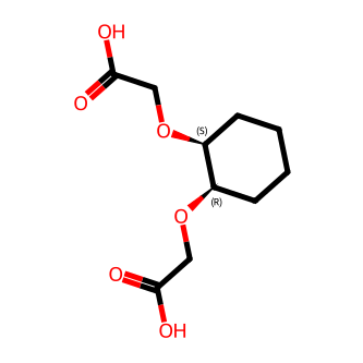 O=C(O)CO[C@H]1CCCC[C@H]1OCC(=O)O